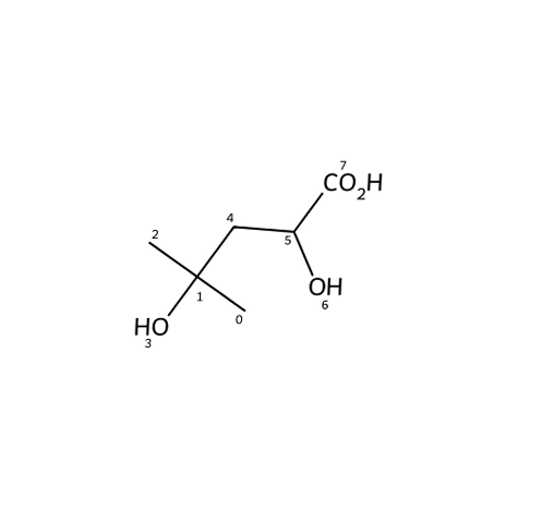 CC(C)(O)CC(O)C(=O)O